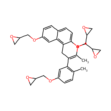 C/C(OCC1CO1)=C(/Cc1c(OCC2CO2)ccc2ccc(OCC3CO3)cc12)c1cc(OCC2CO2)ccc1C